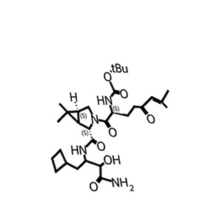 CC(C)=CC(=O)CC[C@H](NC(=O)OC(C)(C)C)C(=O)N1C[C@H]2C([C@H]1C(=O)NC(CC1CCC1)C(O)C(N)=O)C2(C)C